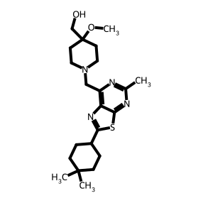 COC1(CO)CCN(Cc2nc(C)nc3sc(C4CCC(C)(C)CC4)nc23)CC1